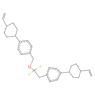 C=CC1CCC(c2ccc(COC(F)(F)Cc3ccc(C4CCC(C=C)CC4)cc3)cc2)CC1